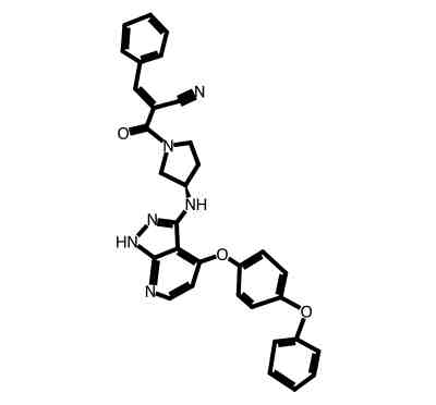 N#CC(=Cc1ccccc1)C(=O)N1CC[C@@H](Nc2n[nH]c3nccc(Oc4ccc(Oc5ccccc5)cc4)c23)C1